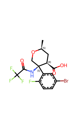 C[C@H]1C[C@@H](C(=O)O)[C@](NC(=O)C(F)(F)F)(c2cc(Br)ccc2F)CO1